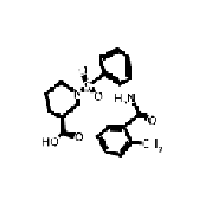 Cc1ccccc1C(N)=O.O=C(O)C1CCCN(S(=O)(=O)c2ccccc2)C1